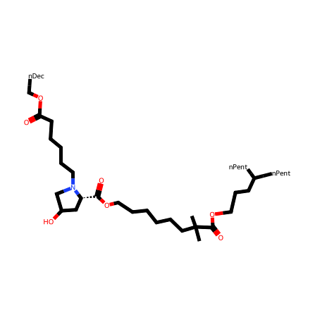 CCCCCCCCCCCOC(=O)CCCCCN1CC(O)C[C@H]1C(=O)OCCCCCCC(C)(C)C(=O)OCCCC(CCCCC)CCCCC